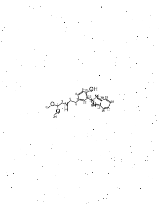 COC(CNCCc1ccc(O)c(-n2nc3ccccc3n2)c1)OC